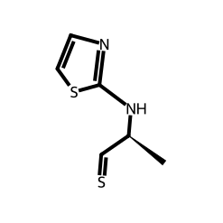 C[C@@H](C=S)Nc1nccs1